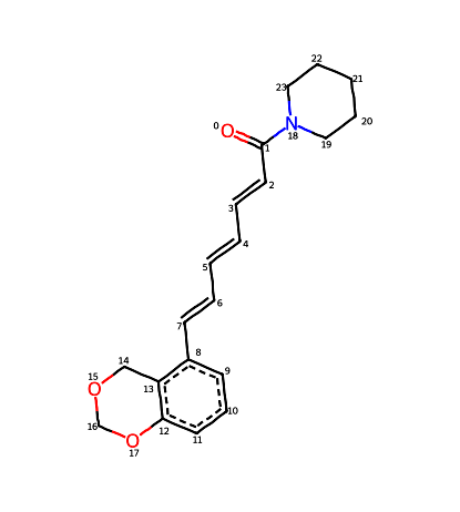 O=C(C=CC=CC=Cc1cccc2c1COCO2)N1CCCCC1